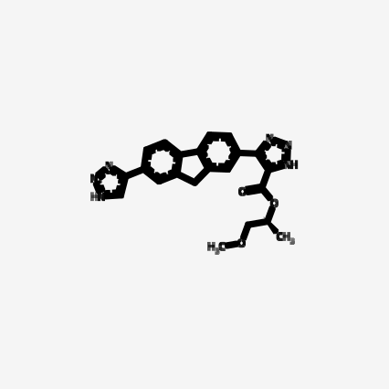 COC[C@H](C)OC(=O)c1[nH]nnc1-c1ccc2c(c1)Cc1cc(-c3c[nH]nn3)ccc1-2